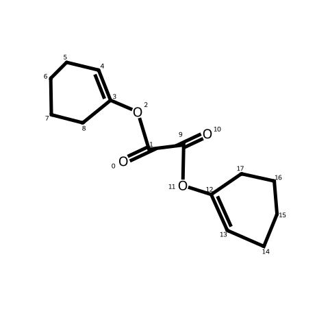 O=C(OC1=CCCCC1)C(=O)OC1=CCCCC1